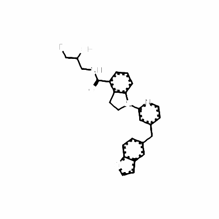 O=C(NCC(O)CF)c1cccc2c1CCN2c1cc(Cc2ccc3occc3c2)ccn1